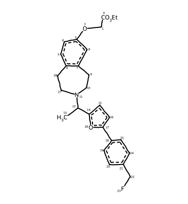 CCOC(=O)COc1ccc2c(c1)CCN(C(C)c1ccc(-c3ccc(CF)cc3)o1)CC2